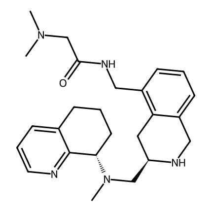 CN(C)CC(=O)NCc1cccc2c1C[C@H](CN(C)[C@H]1CCCc3cccnc31)NC2